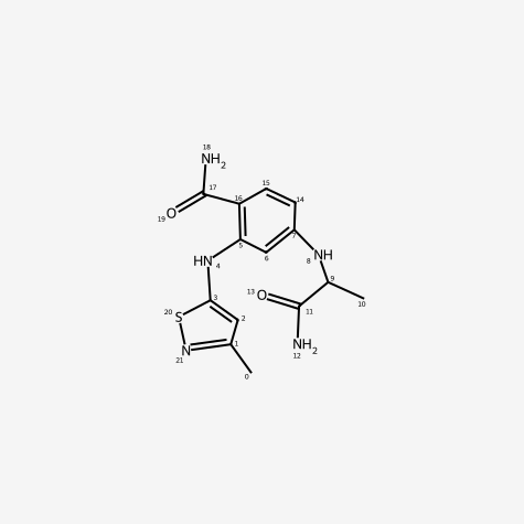 Cc1cc(Nc2cc(NC(C)C(N)=O)ccc2C(N)=O)sn1